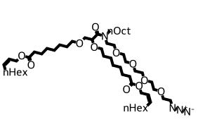 CCCCCC/C=C\COC(=O)CCCCCCCOCC(OCCCCCCCC(=O)OC/C=C\CCCCCC)C(=O)N(CCCCCCCC)CCOCCOCCOCCOCCN=[N+]=[N-]